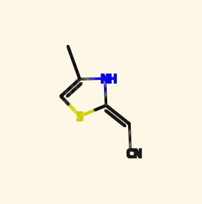 CC1=CS/C(=C\C#N)N1